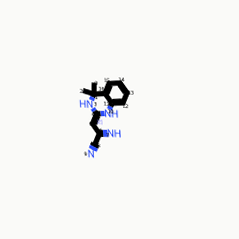 CC1(C)N/C(=C/C(=N)C#N)Nc2ccccc21